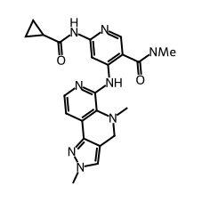 CNC(=O)c1cnc(NC(=O)C2CC2)cc1Nc1nccc2c1N(C)Cc1cn(C)nc1-2